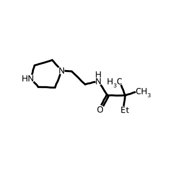 CCC(C)(C)C(=O)NCCN1CCNCC1